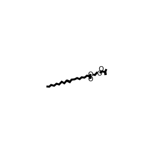 C=C(C)C(=O)OCCOC(=O)CCCCCCC/C=C/CCCCCCCC